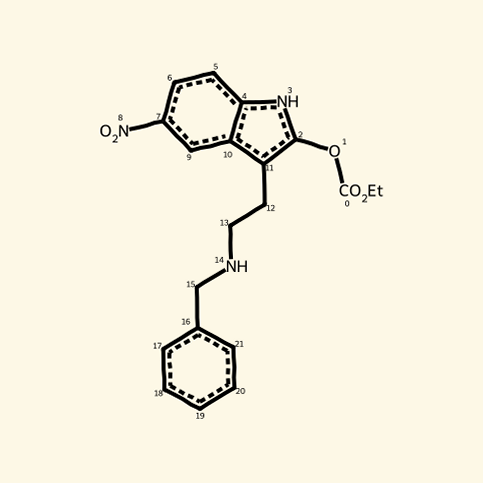 CCOC(=O)Oc1[nH]c2ccc([N+](=O)[O-])cc2c1CCNCc1ccccc1